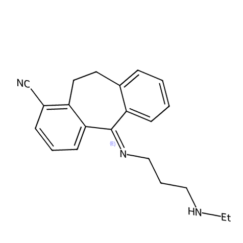 CCNCCC/N=C1\c2ccccc2CCc2c(C#N)cccc21